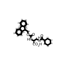 O=C(N[C@@H](CNC(=O)C1CCCCC1)C(=O)O)OCC1c2ccccc2-c2ccccc21